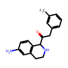 Nc1ccc2c(c1)CCNC2C(=O)Cc1cccc(C(F)(F)F)c1